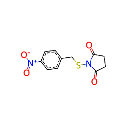 O=C1CCC(=O)N1SCc1ccc([N+](=O)[O-])cc1